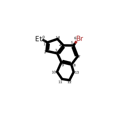 CCC1=Cc2c(c(Br)cc3c2CCCC3)C1